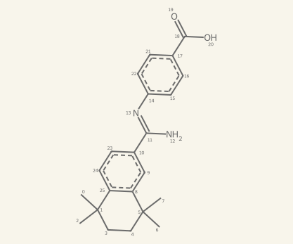 CC1(C)CCC(C)(C)c2cc(C(N)=Nc3ccc(C(=O)O)cc3)ccc21